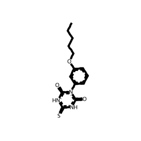 CCCCCOc1cccc(-n2c(=O)[nH]c(=S)[nH]c2=O)c1